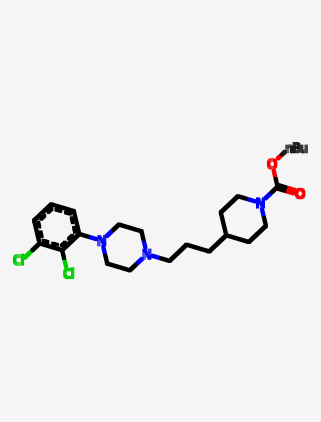 CCCCOC(=O)N1CCC(CCCN2CCN(c3cccc(Cl)c3Cl)CC2)CC1